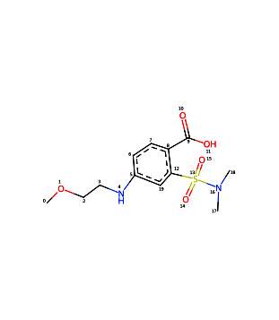 COCCNc1ccc(C(=O)O)c(S(=O)(=O)N(C)C)c1